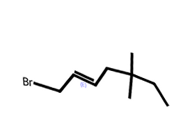 CCC(C)(C)C/C=C/CBr